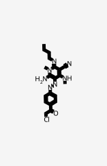 CCCCN=c1c(C#N)c(NC)c(N=Nc2ccc(C(=O)CCl)cc2)c(N)n1C